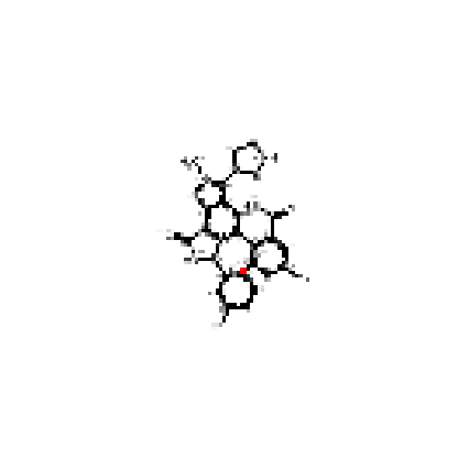 Cn1nc2c3c(c(-c4c(C(N)=O)cc(F)cc4C(F)(F)F)cc2c1C1CCNC1)C(c1cc(F)ccc1Cl)NC3=O